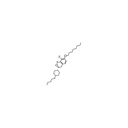 CCCCCCCCOc1ccc(CC(=O)[C@H]2CC[C@H](CCCCC)CC2)c(F)c1F